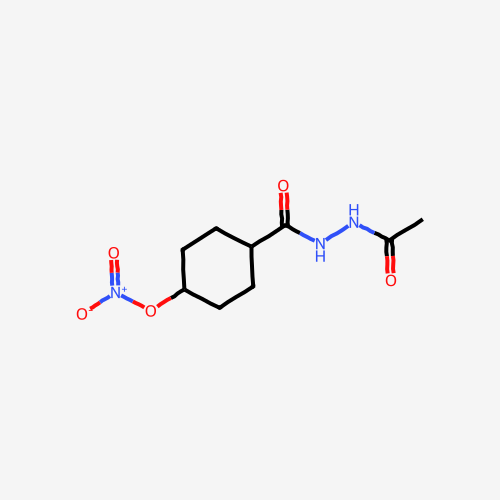 CC(=O)NNC(=O)C1CCC(O[N+](=O)[O-])CC1